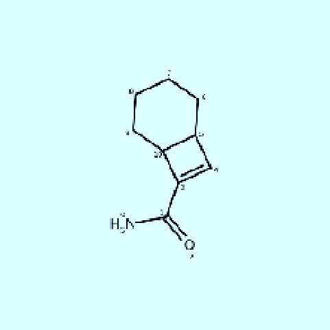 NC(=O)C1=CC2CCCCC12